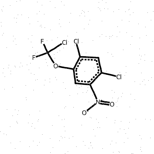 O=[N+]([O-])c1cc(OC(F)(F)Cl)c(Cl)cc1Cl